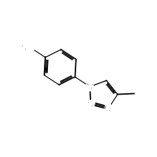 Cc1cn(-c2ccc(C#N)cc2)nn1